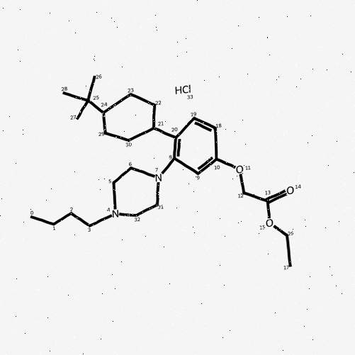 CCCCN1CCN(c2cc(OCC(=O)OCC)ccc2C2CCC(C(C)(C)C)CC2)CC1.Cl